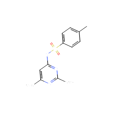 CNc1cc(NS(=O)(=O)c2ccc(C)cc2)nc(NC)n1